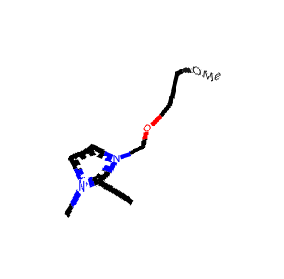 COCCOCn1cc[n+](C)c1C